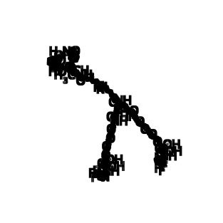 CC(C)(CNC(=O)CCCCCc1cn(CCCCCC(=O)NC(COCCC(=O)NCCOCCOCCOCCOC[C@H]2OC[C@H](NC3=NC(C(F)(F)F)CC=N3)[C@@H](O)[C@H]2O)COCCC(=O)NCCOCCOCCOCCOC[C@H]2OC[C@H](Nc3nccc(C(F)(F)F)n3)[C@@H](O)[C@H]2O)nn1)c1cc(-c2ccc3c(c2)[C@H](N)CO3)cc([C@H](O)Cn2ccc3cccc(C(=O)O)c32)c1